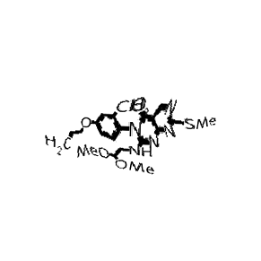 C=CCOc1ccc(-n2c(NCC(OC)OC)nc3nc(SC)ncc3c2=O)c(C)c1